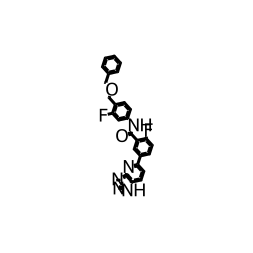 O=C(Nc1ccc(COCc2ccccc2)c(F)c1)c1cc(-c2ccc3[nH]nnc3n2)ccc1F